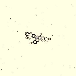 Cc1cncc(Oc2ccc(/N=c3\[nH]c(=O)n(CC(CO)CO)c(=O)n3Cc3ccc(Cl)cc3)cc2)n1